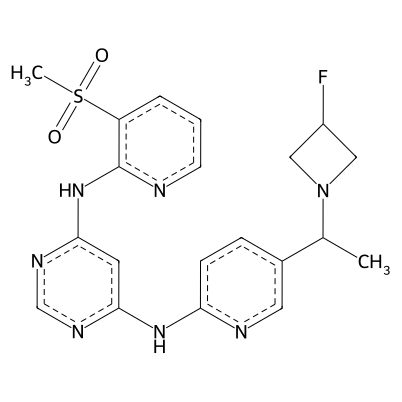 CC(c1ccc(Nc2cc(Nc3ncccc3S(C)(=O)=O)ncn2)nc1)N1CC(F)C1